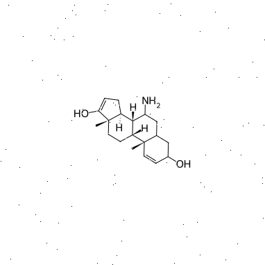 C[C@]12C=CC(O)CC1CC(N)[C@@H]1[C@H]2CC[C@]2(C)C(O)=CC[C@@H]12